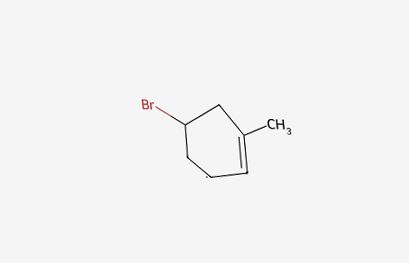 CC1=C[CH]CC(Br)C1